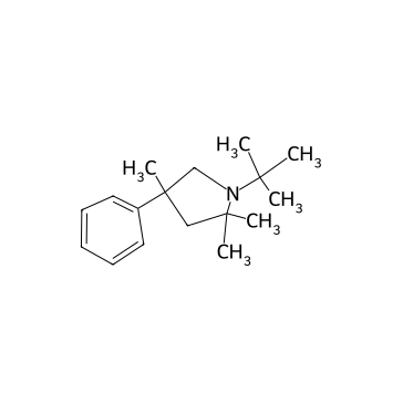 CC1(c2ccccc2)CN(C(C)(C)C)C(C)(C)C1